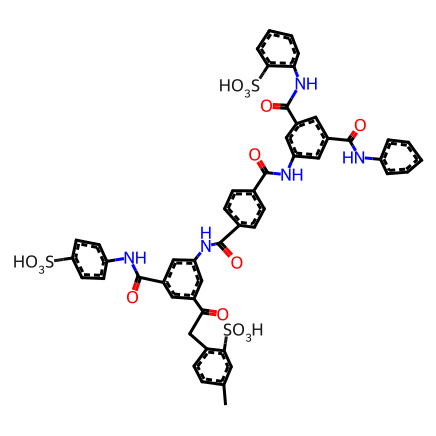 Cc1ccc(CC(=O)c2cc(NC(=O)c3ccc(C(=O)Nc4cc(C(=O)Nc5ccccc5)cc(C(=O)Nc5ccccc5S(=O)(=O)O)c4)cc3)cc(C(=O)Nc3ccc(S(=O)(=O)O)cc3)c2)c(S(=O)(=O)O)c1